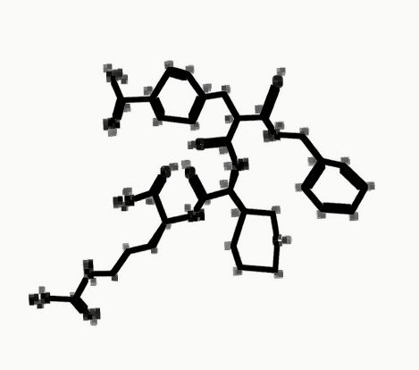 N=C(N)NCCC[C@H](NC(=O)[C@@H](NC(=O)C(Cc1ccc(C(=N)N)cc1)C(=O)NCc1ccccc1)C1CCCCC1)C(N)=O